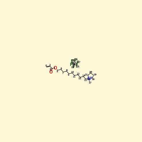 C=CC(=O)OCCCCCCCCCCC[N+]1(C)CCCC1.[F][Sb-]([F])([F])([F])([F])[F]